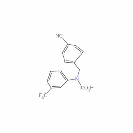 N#Cc1ccc(CN(C(=O)O)c2cccc(C(F)(F)F)c2)cc1